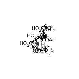 CC(=O)OC[C@H](NC(=O)CC[C@H](NC(=O)C(F)(F)F)C(=O)O)C(=O)N[C@@H](CSSC[C@H](NC(=O)[C@H](COC(C)=O)NC(=O)CC[C@H](NC(=O)C(F)(F)F)C(=O)O)C(=O)O)C(=O)O